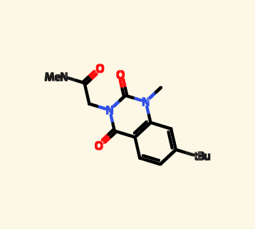 CNC(=O)Cn1c(=O)c2ccc(C(C)(C)C)cc2n(C)c1=O